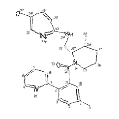 Cc1ccc(-c2ccccn2)c(C(=O)N2CCC[C@@H](C)[C@H]2CNc2ccc(Cl)cn2)c1